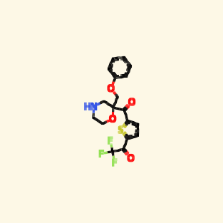 O=C(c1ccc(C(=O)C2(COc3ccccc3)CNCCO2)s1)C(F)(F)F